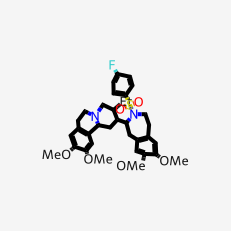 CCC1CN2CCc3cc(OC)c(OC)cc3C2CC1C1Cc2cc(OC)c(OC)cc2CCN1S(=O)(=O)c1ccc(F)cc1